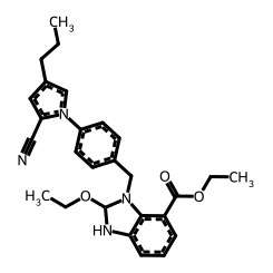 CCCc1cc(C#N)n(-c2ccc(CN3c4c(cccc4C(=O)OCC)NC3OCC)cc2)c1